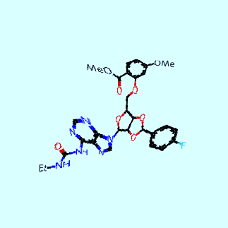 CCNC(=O)Nc1ncnc2c1ncn2C1OC(COc2cc(OC)ccc2C(=O)OC)C2OC(c3ccc(F)cc3)OC21